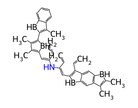 C=CC1=C(/C=C(\C=C)N/C(C=C)=C/C2=C(C)C(C)=C(C3=C(C)c4ccccc4B3)B2)Bc2cc3c(cc21)BC(C)=C3C